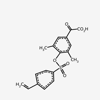 C=Cc1ccc(S(=O)(=O)Oc2c(C)cc(C(=O)C(=O)O)cc2C)cc1